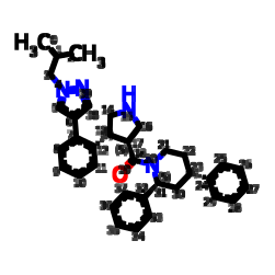 CC(C)Cn1cc(-c2ccccc2[C@@H]2CNC[C@H]2C(=O)N2CC[C@H](c3ccccc3)C[C@H]2c2ccccc2)cn1